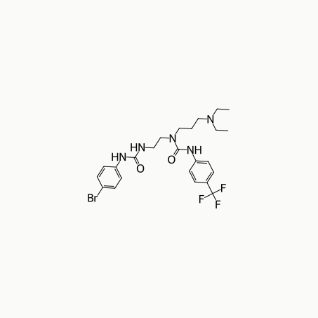 CCN(CC)CCCN(CCNC(=O)Nc1ccc(Br)cc1)C(=O)Nc1ccc(C(F)(F)F)cc1